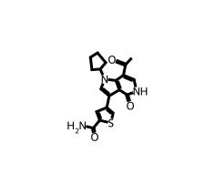 CC(=O)c1c[nH]c(=O)c2c(-c3csc(C(N)=O)c3)cn(C3CCCC3)c12